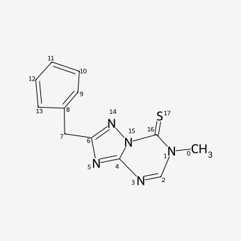 Cn1cnc2nc(Cc3ccccc3)nn2c1=S